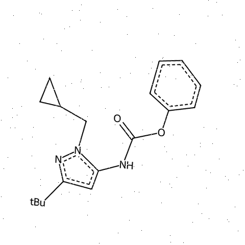 CC(C)(C)c1cc(NC(=O)Oc2ccccc2)n(CC2CC2)n1